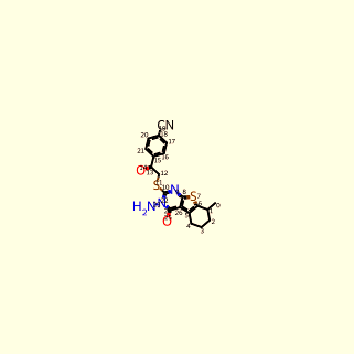 CC1CCCc2c1sc1nc(SCC(=O)c3ccc(C#N)cc3)n(N)c(=O)c21